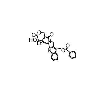 CC[C@@]1(O)C(=O)OCc2c1cc1n(c2=O)Cc2c-1nc1ccccc1c2COC(=O)c1ccccc1